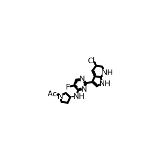 CC(=O)N1CC[C@H](Nc2nc(C3=CNC4NCC(Cl)C=C34)ncc2F)C1